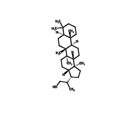 CC(CO)[C@H]1CC[C@]2(C)[C@H]3CC[C@@H]4[C@@]5(C)CCCC(C)(C)[C@@H]5CC[C@@]4(C)[C@]3(C)CC[C@@H]12